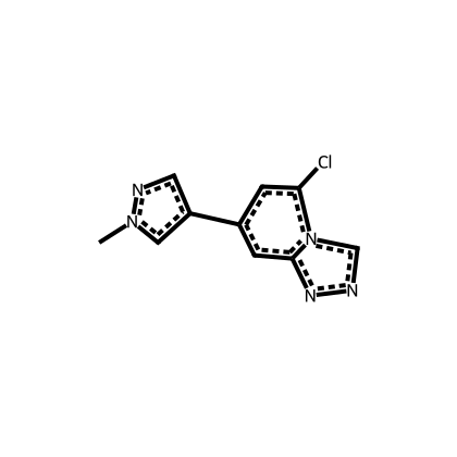 Cn1cc(-c2cc(Cl)n3cnnc3c2)cn1